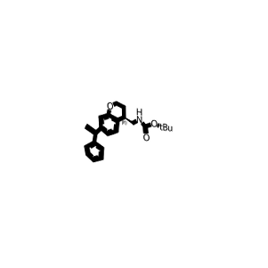 C=C(c1ccccc1)c1ccc2c(c1)OCC[C@H]2CNC(=O)OC(C)(C)C